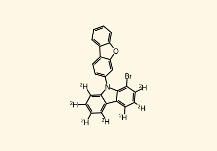 [2H]c1c([2H])c([2H])c2c(c1[2H])c1c([2H])c([2H])c([2H])c(Br)c1n2-c1ccc2c(c1)oc1ccccc12